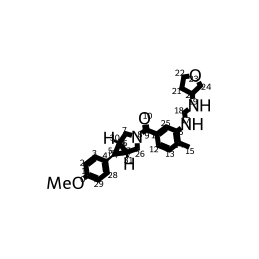 COc1ccc([C@H]2[C@@H]3CN(C(=O)c4ccc(C)c(NCNC5CCOC5)c4)C[C@@H]32)cc1